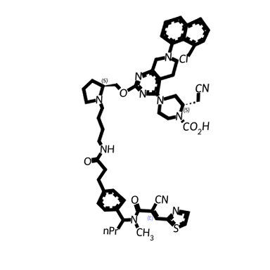 CCCC(c1ccc(CCC(=O)NCCCCN2CCC[C@H]2COc2nc3c(c(N4CCN(C(=O)O)[C@@H](CC#N)C4)n2)CCN(c2cccc4cccc(Cl)c24)C3)cc1)N(C)C(=O)/C(C#N)=C/c1nccs1